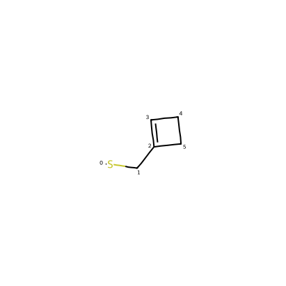 [S]CC1=CCC1